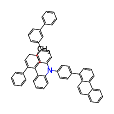 CC1C=C(c2ccccc2N(c2ccc(-c3cccc(-c4ccccc4)c3)cc2)c2ccc(-c3cccc4c3ccc3ccccc34)cc2)C(c2ccccc2)=CC1